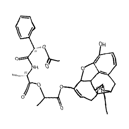 CC(=O)O[C@H](C(=O)N[C@@H](C)C(=O)OC(C)C(=O)OC1=CCC2(O)C3Cc4ccc(O)c5c4C2(CCN3C)C1O5)c1ccccc1